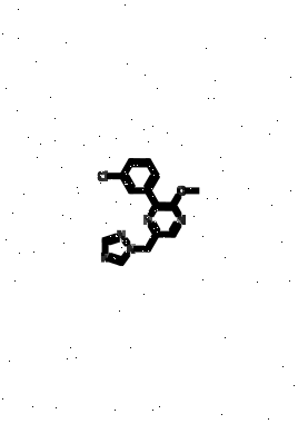 COc1ncc(Cn2cncn2)nc1-c1cccc(Cl)c1